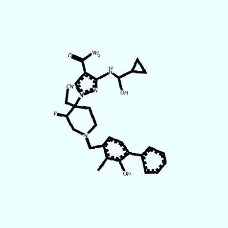 Cc1c(CN2CCC(CC#N)(n3cc(C(N)=O)c(NC(O)C4CC4)n3)C(F)C2)ccc(-c2ccccc2)c1O